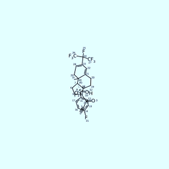 C#CC(=O)N1CC[C@]2(S(=O)(=O)c3ccc(F)cc3)[C@H]1CCC1=CC(C(F)(C(F)(F)F)C(F)(F)F)=CCC12C